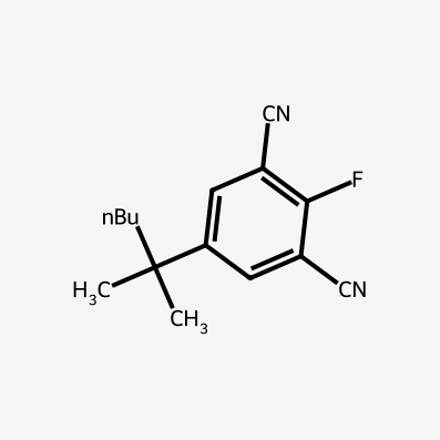 CCCCC(C)(C)c1cc(C#N)c(F)c(C#N)c1